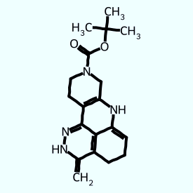 C=C1NN=C2C3=C(CN(C(=O)OC(C)(C)C)CC3)NC3=CCCC1=C32